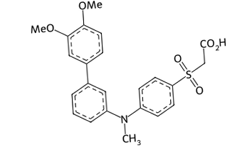 COc1ccc(-c2cccc(N(C)c3ccc(S(=O)(=O)CC(=O)O)cc3)c2)cc1OC